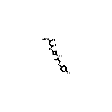 [CH2]C(CC(=O)NC12CC(NC(=O)COc3ccc(Cl)cc3)(C1)C2)OC